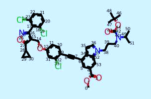 COC(=O)c1cc(C#Cc2ccc(OCc3c(-c4c(Cl)cccc4Cl)noc3C3CC3)cc2Cl)c2ccn(CCCN(C(=O)OC(C)(C)C)C(C)C)c2c1